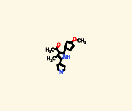 COc1ccc(-c2[nH]c(-c3ccncc3)c(C)c2C(C)=O)cc1